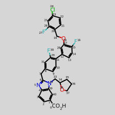 O=C(O)c1ccc2nc(Cc3ccc(-c4ccc(F)c(OCc5ccc(Cl)cc5F)c4)c(F)c3)n(CC3CCCO3)c2c1